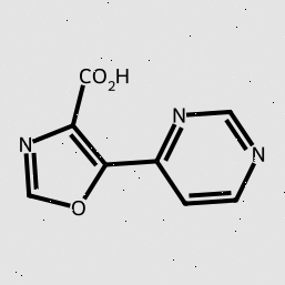 O=C(O)c1ncoc1-c1ccncn1